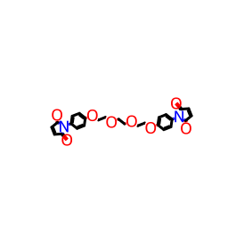 O=C1C=CC(=O)N1c1ccc(OCCOCCOCCOc2ccc(N3C(=O)C=CC3=O)cc2)cc1